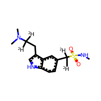 [2H]C([2H])(Cc1c[nH]c2ccc(C([2H])([2H])S(=O)(=O)NC)cc12)N(C)C